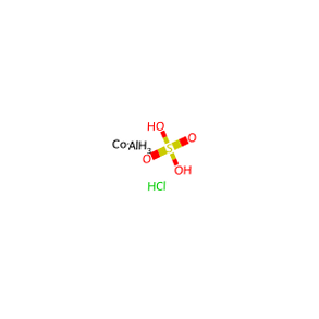 Cl.O=S(=O)(O)O.[AlH3].[Co]